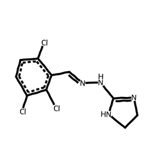 Clc1ccc(Cl)c(/C=N/NC2=NCCN2)c1Cl